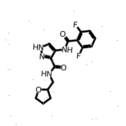 O=C(NCC1CCCO1)c1n[nH]cc1NC(=O)c1c(F)cccc1F